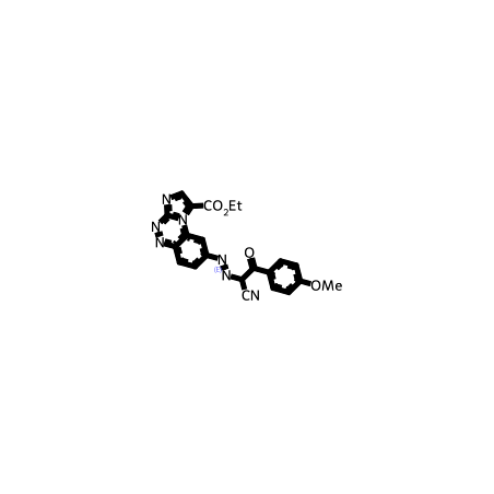 CCOC(=O)c1cnc2nnc3ccc(/N=N/C(C#N)C(=O)c4ccc(OC)cc4)cc3n12